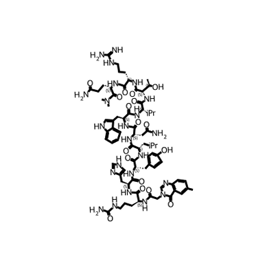 Cc1ccc2ncn(CC(=O)N[C@@H](CCCNC(N)=O)C(=O)N[C@@H](Cc3c[nH]cn3)C(=O)N[C@@H](Cc3ccc(O)cc3)C(=O)N[C@@H](CC(C)C)C(=O)N[C@@H](CC(N)=O)C(=O)N[C@@H](Cc3c[nH]c4ccccc34)C(=O)N[C@H](C(=O)N[C@H](C(=O)N[C@@H](CCCNC(=N)N)C(=O)N[C@@H](CCC(N)=O)C(=O)N(C)C)[C@@H](C)O)C(C)C)c(=O)c2c1